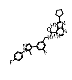 Cc1c(-c2cc(F)cc(CNC(=O)c3ncnc4nc(C5CCCC5)[nH]c34)c2)cnn1-c1ccc(F)cc1